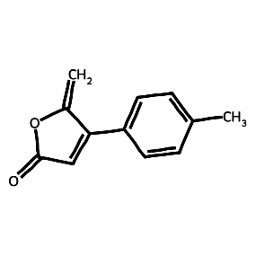 C=C1OC(=O)C=C1c1ccc(C)cc1